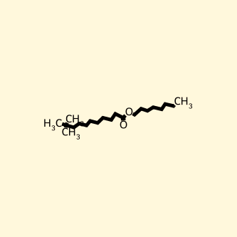 CCCCCCCCOC(=O)CCCCCCCCC(C)(C)C